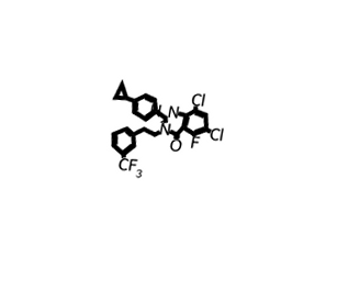 Nc1c(Cl)cc(Cl)c(F)c1C(=O)N(CCc1cccc(C(F)(F)F)c1)Cc1ccc(C2CC2)cc1